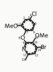 COc1cc(Cl)ccc1Oc1nc(C)cc(Br)c1OC